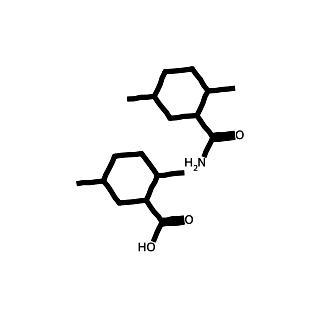 CC1CCC(C)C(C(=O)O)C1.CC1CCC(C)C(C(N)=O)C1